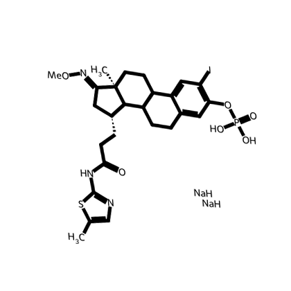 CO/N=C1\C[C@@H](CCC(=O)Nc2ncc(C)s2)C2C3CCc4cc(OP(=O)(O)O)c(I)cc4C3CC[C@]12C.[NaH].[NaH]